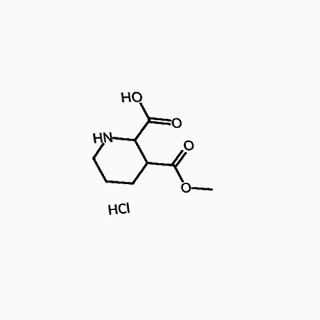 COC(=O)C1CCCNC1C(=O)O.Cl